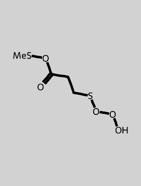 CSOC(=O)CCSOOO